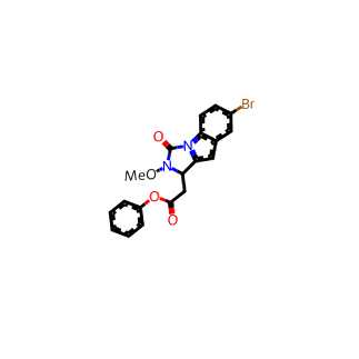 CON1C(=O)n2c(cc3cc(Br)ccc32)C1CC(=O)Oc1ccccc1